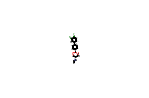 C/C=C/[C@H]1CO[C@H](c2ccc(-c3ccc(F)c(F)c3)cc2)OC1